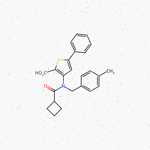 Cc1ccc(CN(C(=O)C2CCC2)c2cc(-c3ccccc3)sc2C(=O)O)cc1